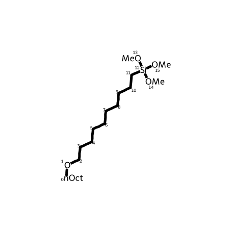 CCCCCCCCOCCCCCCCCCC[Si](OC)(OC)OC